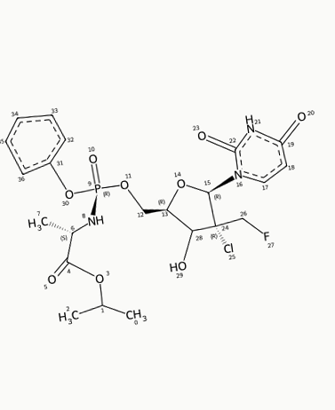 CC(C)OC(=O)[C@H](C)N[P@@](=O)(OC[C@H]1O[C@@H](n2ccc(=O)[nH]c2=O)[C@@](Cl)(CF)C1O)Oc1ccccc1